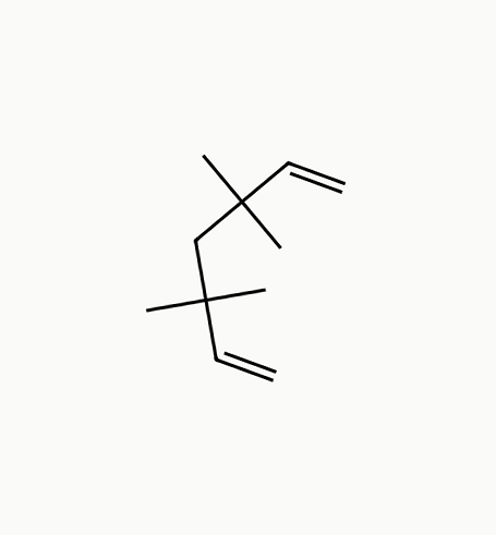 C=CC(C)(C)CC(C)(C)C=C